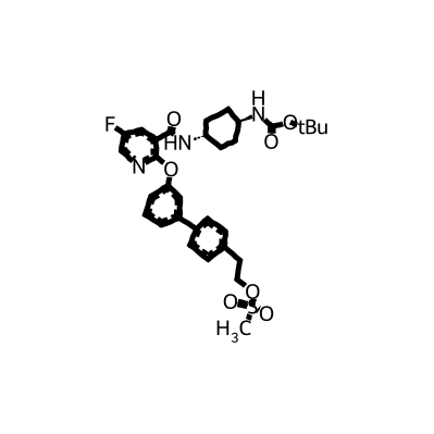 CC(C)(C)OC(=O)N[C@H]1CC[C@H](NC(=O)c2cc(F)cnc2Oc2cccc(-c3ccc(CCOS(C)(=O)=O)cc3)c2)CC1